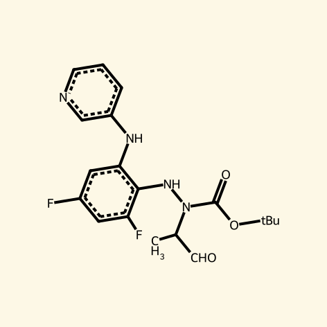 CC(C=O)N(Nc1c(F)cc(F)cc1Nc1cccnc1)C(=O)OC(C)(C)C